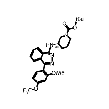 COc1cc(OC(F)(F)F)ccc1-c1nnc(N[C@@H]2CCCN(C(=O)OC(C)(C)C)C2)c2ccccc12